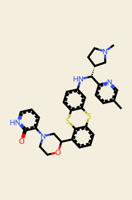 Cc1ccc(C(Nc2ccc3c(c2)Sc2cccc(C4CN(c5ccc[nH]c5=O)CCO4)c2S3)[C@@H]2CCN(C)C2)nc1